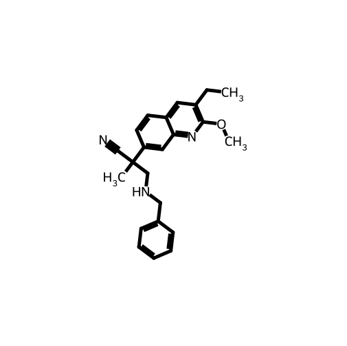 CCc1cc2ccc(C(C)(C#N)CNCc3ccccc3)cc2nc1OC